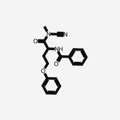 CN(C#N)C(=O)C(CCOc1ccccc1)NC(=O)c1ccccc1